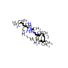 C=CC(C)C(C)CC(C)(C)CCC(C)(C)CCNC(=C)NCC(C)(C)CCC(C)(C)CCC